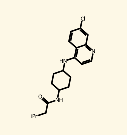 CC(C)CC(=O)NC1CCC(Nc2ccnc3cc(Cl)ccc23)CC1